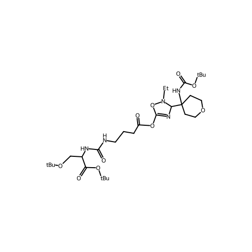 CCN1OC(OC(=O)CCCNC(=O)NC(COC(C)(C)C)C(=O)OC(C)(C)C)=NC1C1(NC(=O)OC(C)(C)C)CCOCC1